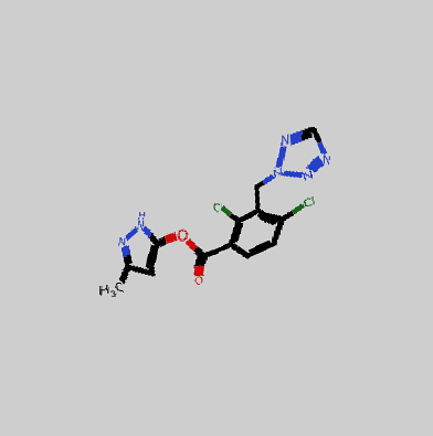 Cc1cc(OC(=O)c2ccc(Cl)c(Cn3ncnn3)c2Cl)[nH]n1